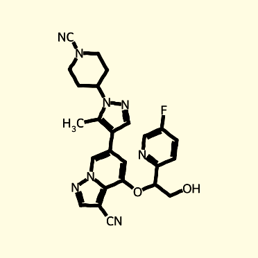 Cc1c(-c2cc(OC(CO)c3ccc(F)cn3)c3c(C#N)cnn3c2)cnn1C1CCN(C#N)CC1